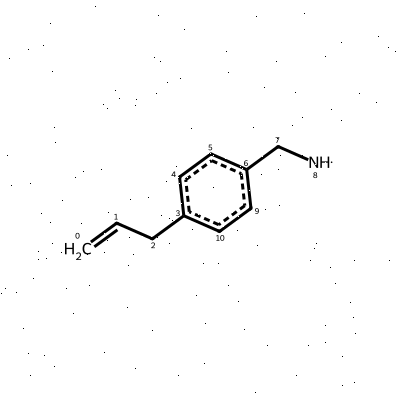 C=CCc1ccc(C[NH])cc1